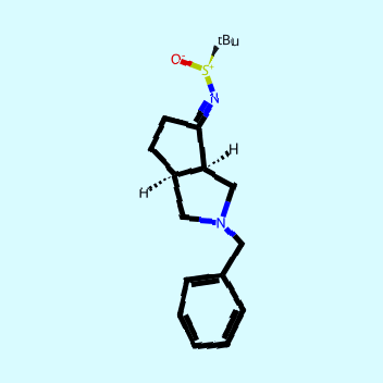 CC(C)(C)[S@+]([O-])/N=C1\CC[C@@H]2CN(Cc3ccccc3)C[C@H]12